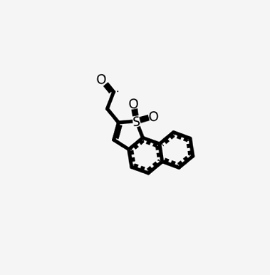 O=[C]CC1=Cc2ccc3ccccc3c2S1(=O)=O